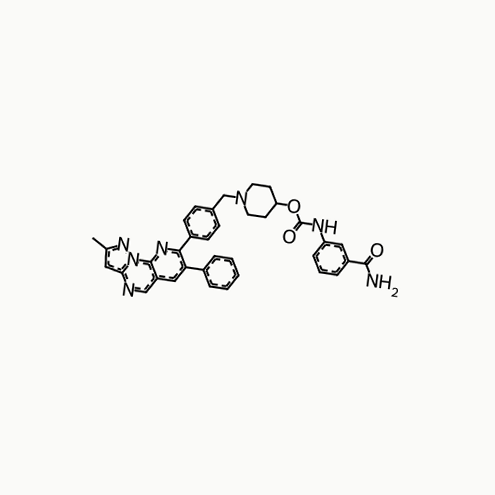 Cc1cc2ncc3cc(-c4ccccc4)c(-c4ccc(CN5CCC(OC(=O)Nc6cccc(C(N)=O)c6)CC5)cc4)nc3n2n1